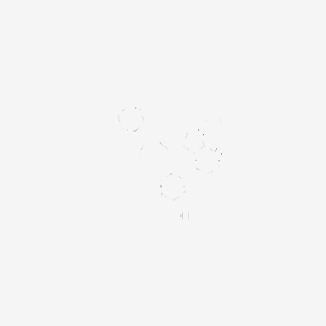 Cn1cc(C=C2Oc3cccc(O)c3C2=O)c2c(-c3cccc(O)c3)ccnc21